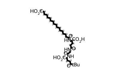 CC(C)(C)C(=O)CCC(NC(=O)CNC(=O)CCC(NC(=O)CCCCCCCCCCCCCCCCC(=O)O)C(=O)O)C(=O)O